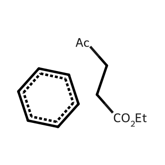 CCOC(=O)CCC(C)=O.c1ccccc1